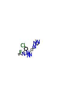 Cc1nccc(N2CC3(CC(c4nnc5n4-c4ccc(Cl)cc4CN(CC4(F)CC4)C5)C3)C2)n1